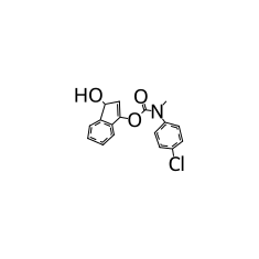 CN(C(=O)OC1=CC(O)c2ccccc21)c1ccc(Cl)cc1